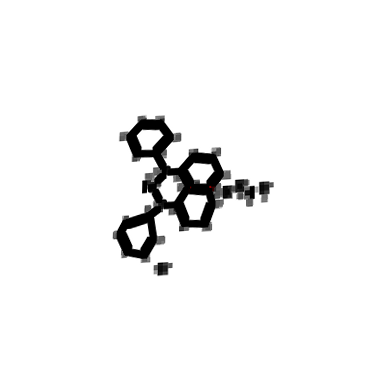 [H-].[H-].[H-].[K+].[K+].c1ccc([P]([Fe+][P](c2ccccc2)c2ccccc2)c2ccccc2)cc1